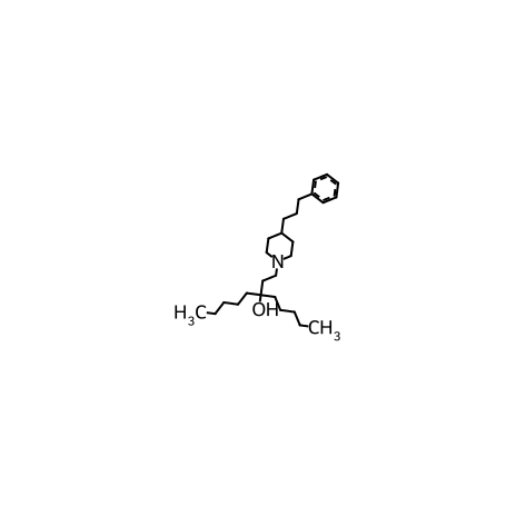 CCCCCC(O)(CCCCC)CCN1CCC(CCCc2ccccc2)CC1